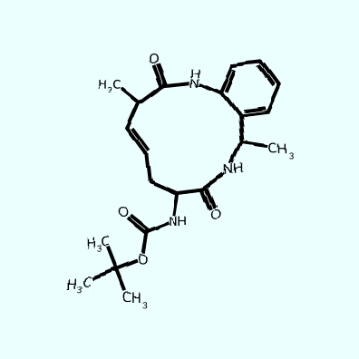 CC1/C=C/CC(NC(=O)OC(C)(C)C)C(=O)NC(C)c2ccccc2NC1=O